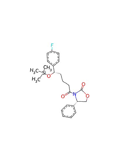 C[Si](C)(C)O[C@@H](CCCC(=O)N1C(=O)OC[C@@H]1c1ccccc1)c1ccc(F)cc1